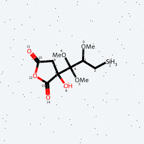 COC(C[SiH3])C(OC)(OC)C1(O)CC(=O)OC1=O